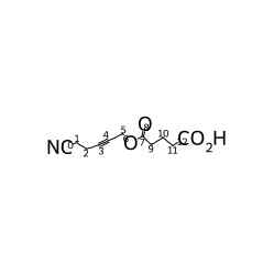 N#CCCC#CCOC(=O)CCCC(=O)O